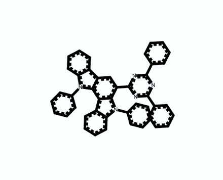 c1ccc(-c2nc(-c3ccccc3)nc(-c3cc4c5ccccc5n(-c5ccccc5)c4c4c5ccccc5n(-c5ccccc5)c34)n2)cc1